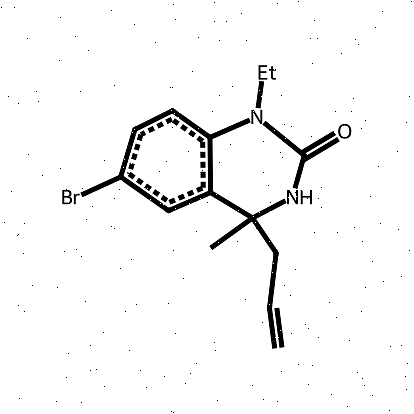 C=CCC1(C)NC(=O)N(CC)c2ccc(Br)cc21